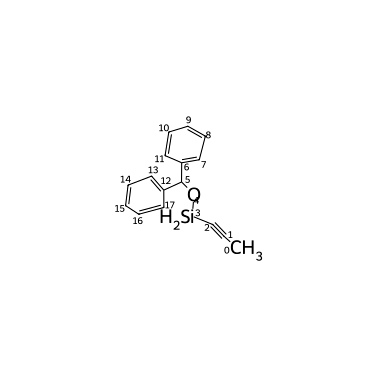 CC#C[SiH2]OC(c1ccccc1)c1ccccc1